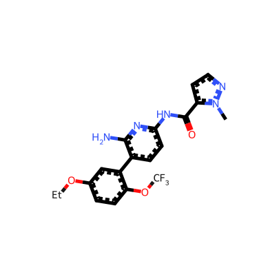 CCOc1ccc(OC(F)(F)F)c(-c2ccc(NC(=O)c3ccnn3C)nc2N)c1